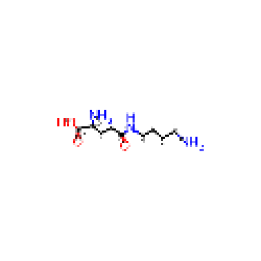 NCCCCNC(=O)CC[C@H](N)C(=O)O